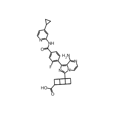 Nc1nccn2c(C34C5C6C3C3C4C5C63C(=O)O)nc(-c3ccc(C(=O)Nc4cc(C5CC5)ccn4)cc3F)c12